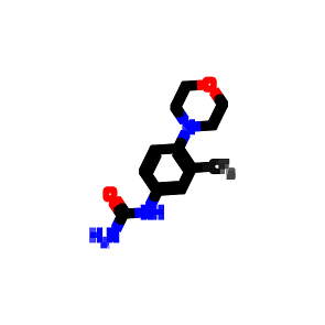 NC(=O)Nc1ccc(N2CCOCC2)c(C(F)(F)F)c1